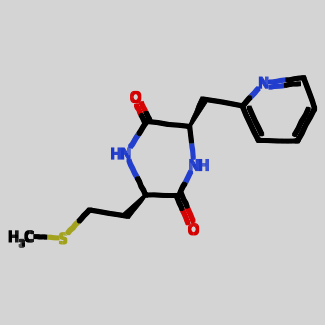 CSCC[C@H]1NC(=O)[C@@H](Cc2ccccn2)NC1=O